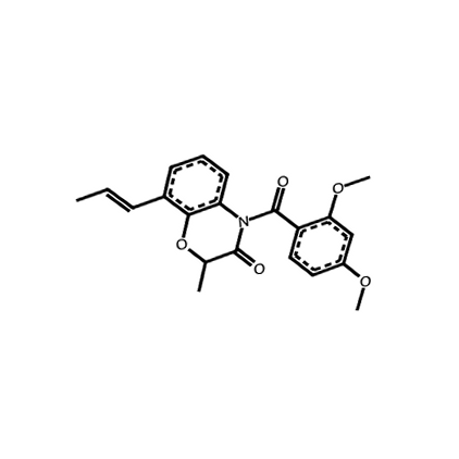 CC=Cc1cccc2c1OC(C)C(=O)N2C(=O)c1ccc(OC)cc1OC